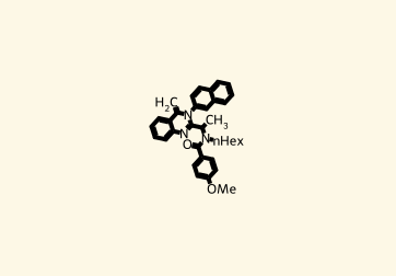 C=C1c2ccccc2N=C(C(C)N(CCCCCC)C(=O)c2ccc(OC)cc2)N1c1ccc2ccccc2c1